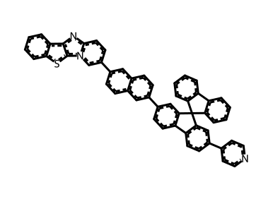 c1ccc2c(c1)-c1ccccc1C21c2cc(-c3ccncc3)ccc2-c2ccc(-c3ccc4cc(-c5ccc6nc7c8ccccc8sc7n6c5)ccc4c3)cc21